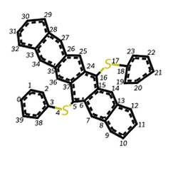 c1ccc(Sc2c3cc4ccccc4cc3c(Sc3ccccc3)c3cc4cc5ccccc5cc4cc23)cc1